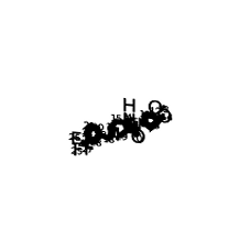 O=c1c2c([nH]n1-c1ccc3c(c1)OCO3)CCN(Cc1cccc(C(F)(F)F)c1)C2